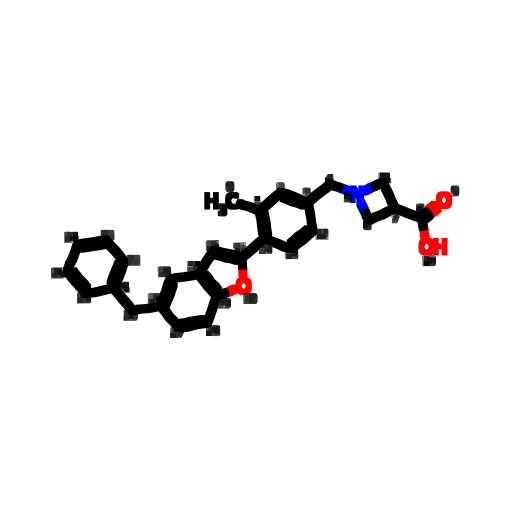 Cc1cc(CN2CC(C(=O)O)C2)ccc1-c1cc2cc(Cc3ccccc3)ccc2o1